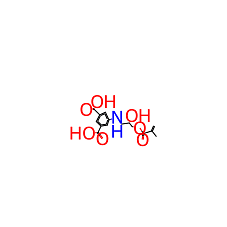 C=C(C)C(=O)OCC(O)CNc1cc(C(=O)O)cc(C(=O)O)c1